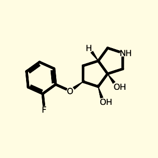 O[C@H]1[C@@H](Oc2ccccc2F)C[C@@H]2CNC[C@@]21O